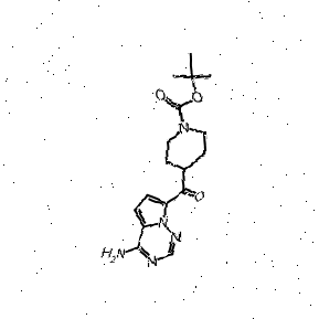 CC(C)(C)OC(=O)N1CCC(C(=O)c2ccc3c(N)ncnn23)CC1